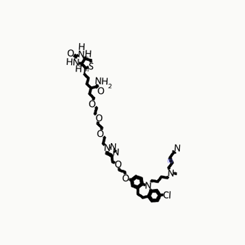 CN(C/C=C/C#N)CCCCN1c2ccc(OCCOCc3cn(CCOCCOCCOCCC(CCC[C@@H]4SC[C@@H]5NC(=O)N[C@@H]54)C(N)=O)nn3)cc2CCc2ccc(Cl)cc21